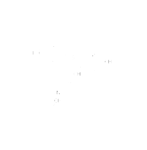 Cc1ccc(C2(C)Sc3ccc(C)cc3C2=C2CCN(C)CC2)cc1